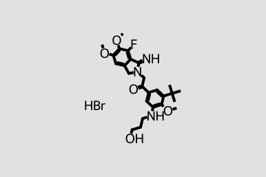 Br.COc1cc2c(c(F)c1OC)C(=N)N(CC(=O)c1cc(NCCCO)c(OC)c(C(C)(C)C)c1)C2